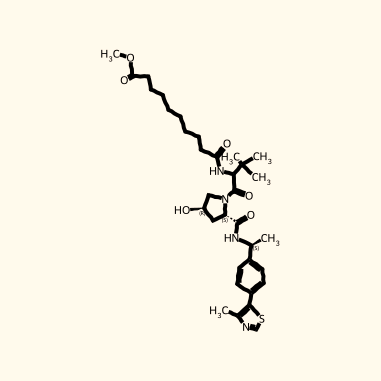 COC(=O)CCCCCCCCC(=O)NC(C(=O)N1C[C@H](O)C[C@H]1C(=O)N[C@@H](C)c1ccc(-c2scnc2C)cc1)C(C)(C)C